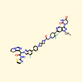 Cn1nc(N2CCC(=O)NC2=O)c2cnc(C3CCN(CC(=O)N4CC5(C4)CN(c4ccc(-c6cc(F)c7cn(C(C(=O)Nc8nccs8)c8ncn9c8CCC9)nc7c6)cc4)C5)CC3(F)F)cc21